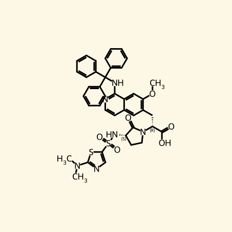 COc1cc2c(NC(c3ccccc3)(c3ccccc3)c3ccccc3)nccc2cc1C[C@H](C(=O)O)N1CC[C@H](NS(=O)(=O)c2cnc(N(C)C)s2)C1=O